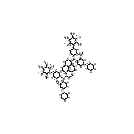 [2H]c1c([2H])c([2H])c(-c2ccc(N(c3ccc(-c4ccccc4)cc3)c3ccc4ccc5c(N(c6ccc(-c7ccccc7)cc6)c6ccc(-c7c([2H])c([2H])c([2H])c([2H])c7[2H])cc6C(F)(F)F)ccc6ccc3c4c65)c(C(F)F)c2)c([2H])c1[2H]